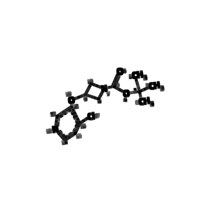 CC(C)(C)OC(=O)N1CC(Oc2cnccc2Cl)C1